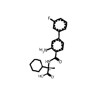 C[C@@](NC(=O)c1ccc(-c2cccc(F)c2)cc1N)(C(=O)O)C1CCCCC1